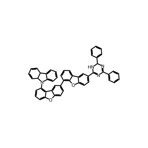 C1=CC2c3ccccc3N(c3cccc4oc5ccc(-c6cccc7c6oc6ccc(C8=NC(c9ccccc9)=NC(c9ccccc9)N8)cc67)cc5c34)C2C=C1